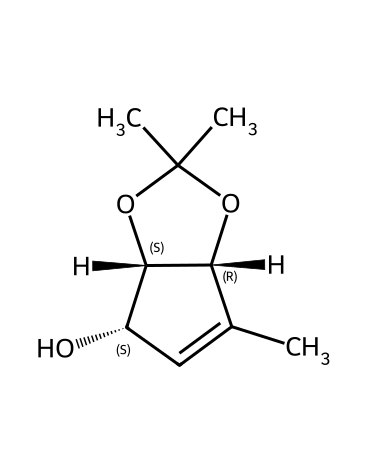 CC1=C[C@H](O)[C@@H]2OC(C)(C)O[C@H]12